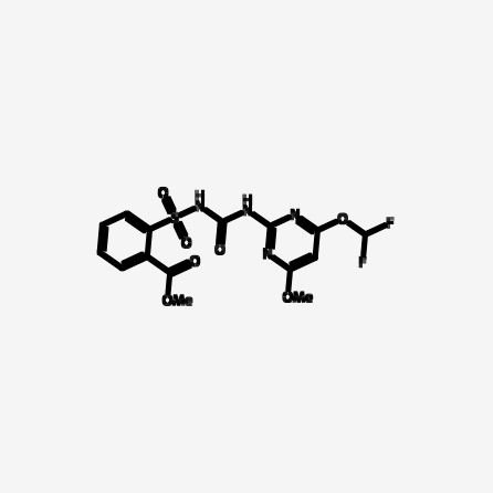 COC(=O)c1ccccc1S(=O)(=O)NC(=O)Nc1nc(OC)cc(OC(F)F)n1